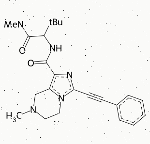 CNC(=O)C(NC(=O)c1nc(C#Cc2ccccc2)n2c1CN(C)CC2)C(C)(C)C